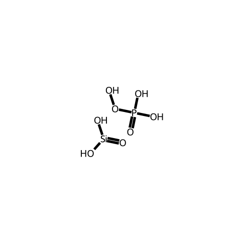 O=P(O)(O)OO.O=[Si](O)O